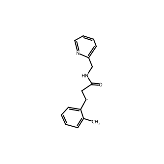 Cc1ccccc1[CH]CC(=O)NCc1ccccn1